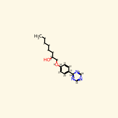 CCCCCCC(O)COc1ccc(-c2ncncn2)cc1